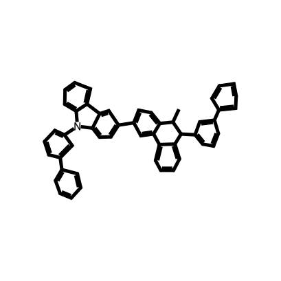 CC1c2ccc(-c3ccc4c(c3)c3ccccc3n4-c3cccc(-c4ccccc4)c3)cc2-c2ccccc2C1c1cccc(-c2ccccc2)c1